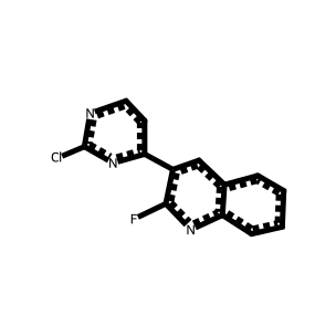 Fc1nc2ccccc2cc1-c1ccnc(Cl)n1